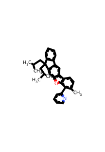 Cc1ccc2c(oc3cc4c(cc32)-c2ccccc2C4(CC(C)C)CC(C)C)c1-c1ccccn1